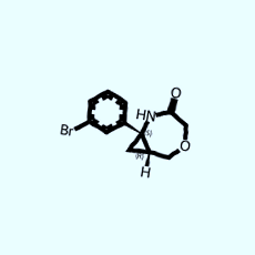 O=C1COC[C@@H]2C[C@]2(c2cccc(Br)c2)N1